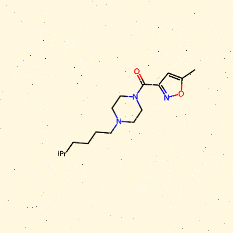 Cc1cc(C(=O)N2CCN(CCCCC(C)C)CC2)no1